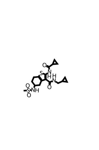 CS(=O)(=O)NC1CCc2sc(NC(=O)C3CC3)c(C(=O)NCC3CC3)c2C1